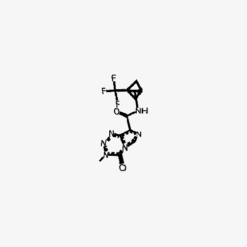 Cn1nnc2c(C(=O)NC3C4CC3(C(F)(F)F)C4)ncn2c1=O